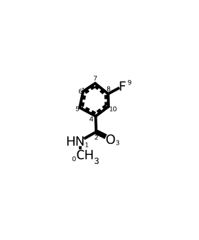 CNC(=O)c1c[c]cc(F)c1